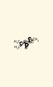 CCC1CC(C)CN(C(=O)c2cc(Br)ccc2NC(=O)C2CCCN2C(C)=O)C1